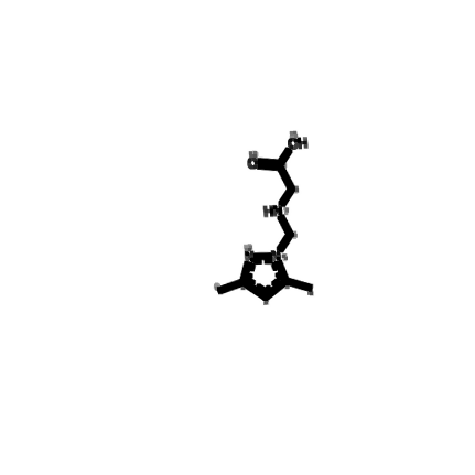 Cc1cc(C)n(CNCC(=O)O)n1